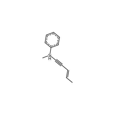 CC=CC#C[SiH](C)c1ccccc1